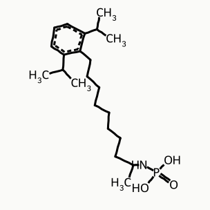 CC(CCCCCCCCc1c(C(C)C)cccc1C(C)C)NP(=O)(O)O